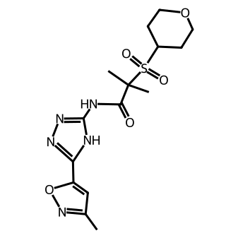 Cc1cc(-c2nnc(NC(=O)C(C)(C)S(=O)(=O)C3CCOCC3)[nH]2)on1